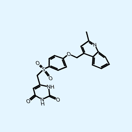 Cc1cc(COc2ccc(S(=O)(=O)Cc3cc(=O)[nH]c(=O)[nH]3)cc2)c2ccccc2n1